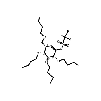 CCCCOC[C@H]1C=C(OS(=O)(=O)C(F)(F)F)[C@H](OCCCC)[C@@H](OCCCC)[C@@H]1OCCCC